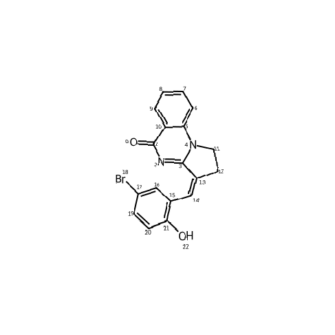 O=c1nc2n(c3ccccc13)CC/C2=C/c1cc(Br)ccc1O